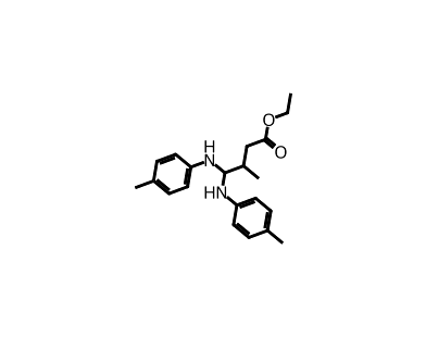 CCOC(=O)CC(C)C(Nc1ccc(C)cc1)Nc1ccc(C)cc1